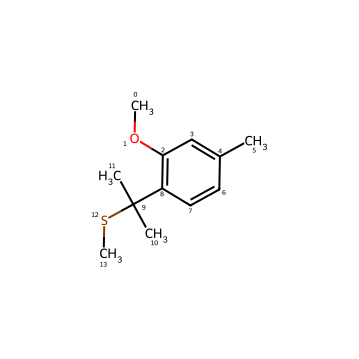 COc1cc(C)ccc1C(C)(C)SC